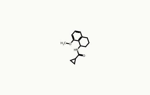 COc1cccc2c1C(NC(=O)C1CC1)CCC2